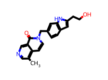 Cc1cncc2c(=O)n(Cc3ccc4cc(CCO)[nH]c4c3)ccc12